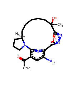 COC(=O)c1cc(N)c2nc1N1CCC[C@H]1CCCCCC(O)(C(F)(F)F)c1nnc-2o1